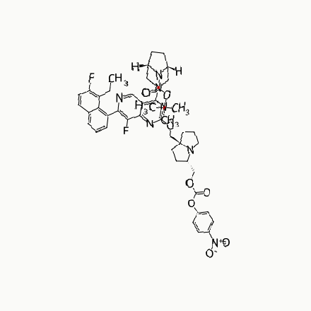 CCc1c(F)ccc2cccc(-c3ncc4c(N5C[C@H]6CC[C@@H](C5)N6C(=O)OC(C)(C)C)nc(OC[C@@]56CCCN5[C@H](COC(=O)Oc5ccc([N+](=O)[O-])cc5)CC6)nc4c3F)c12